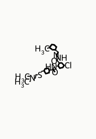 CCN(CC)CCSCc1ccc(C(=O)Nc2ccc(Cl)cc2C(=O)NN=Cc2cccc(C)c2)cc1